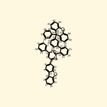 c1ccc(-c2cc(-c3ccc4c(c3)oc3ccccc34)nc(-c3ccccc3-c3cccc(C4(c5ccccc5)c5ccccc5Oc5ccccc54)c3)n2)cc1